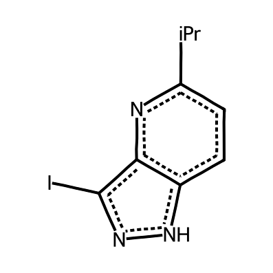 CC(C)c1ccc2[nH]nc(I)c2n1